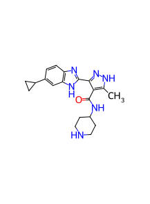 Cc1[nH]nc(-c2nc3ccc(C4CC4)cc3[nH]2)c1C(=O)NC1CCNCC1